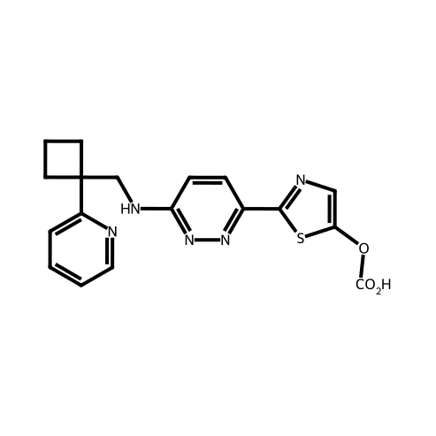 O=C(O)Oc1cnc(-c2ccc(NCC3(c4ccccn4)CCC3)nn2)s1